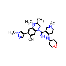 CC(=O)N1CCC(NC2CCOCC2)=C(C(=N)N2C[C@H](C)N(C)c3cc(-c4cnn(C)c4)c(C#N)cc32)C1